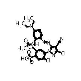 CCN(CC)c1ccc(/N=N/c2c(C#N)c(Cl)nn2-c2cc(Cl)c(S(=O)(=O)O)cc2Cl)c(NC(C)=O)c1